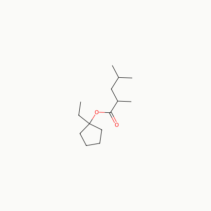 CCC1(OC(=O)C(C)CC(C)C)CCCC1